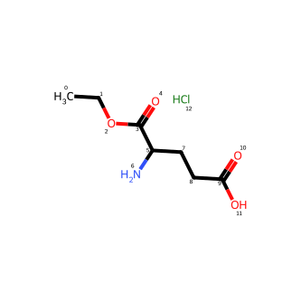 CCOC(=O)C(N)CCC(=O)O.Cl